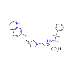 CC(C)(C(=O)N[C@@H](CCN1CC[C@@H](CCc2ccc3c(n2)NCCC3)C1)C(=O)O)c1ccccc1